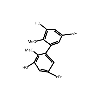 CCCc1cc(O)c(OC)c(-c2cc(CCC)cc(O)c2OC)c1